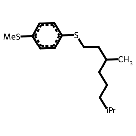 CSc1ccc(SCCC(C)CCCC(C)C)cc1